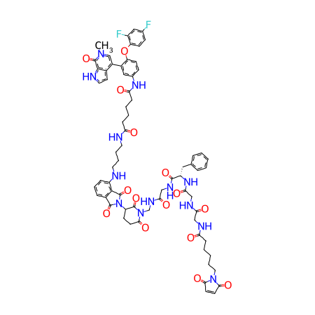 Cn1cc(-c2cc(NC(=O)CCCCC(=O)NCCCCNc3cccc4c3C(=O)N(C3CCC(=O)N(CNC(=O)CNC(=O)[C@H](Cc5ccccc5)NC(=O)CNC(=O)CNC(=O)CCCCCN5C(=O)C=CC5=O)C3=O)C4=O)ccc2Oc2ccc(F)cc2F)c2cc[nH]c2c1=O